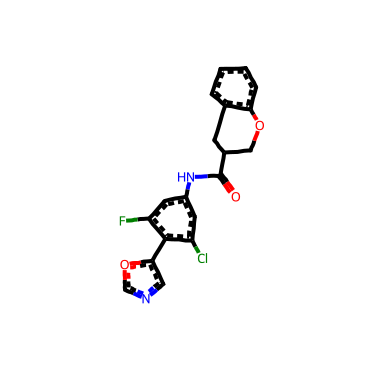 O=C(Nc1cc(F)c(-c2cnco2)c(Cl)c1)C1COc2ccccc2C1